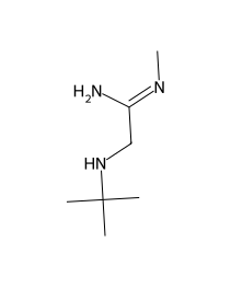 C/N=C(\N)CNC(C)(C)C